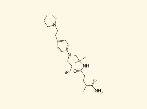 CC(C)CCN(CC(C)(C)NC(=O)[CH]CC(C)C(N)=O)c1ccc(CCN2CCCCC2)cc1